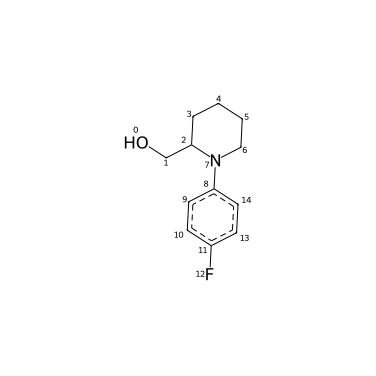 OCC1CCCCN1c1ccc(F)cc1